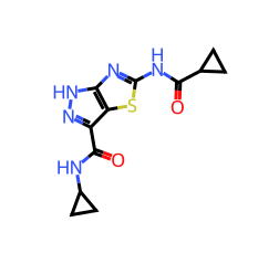 O=C(NC1CC1)c1n[nH]c2nc(NC(=O)C3CC3)sc12